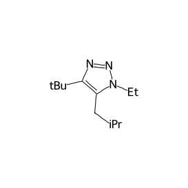 CCn1nnc(C(C)(C)C)c1CC(C)C